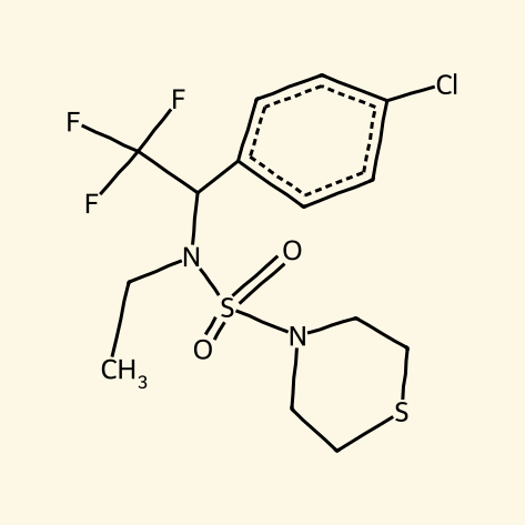 CCN(C(c1ccc(Cl)cc1)C(F)(F)F)S(=O)(=O)N1CCSCC1